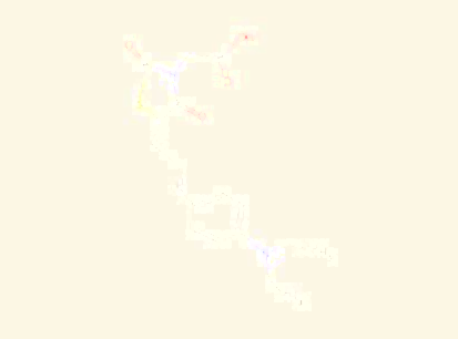 CCN(CC)c1ccc(C=CC=C2SC(=O)N(CC(=O)O)C2=O)cc1